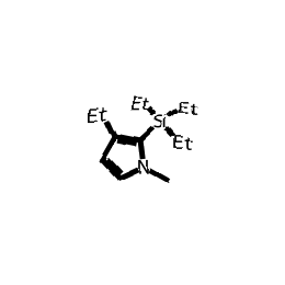 CCc1ccn(C)c1[Si](CC)(CC)CC